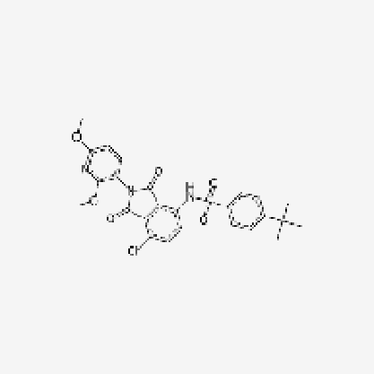 COc1ccc(N2C(=O)c3c(Cl)ccc(NS(=O)(=O)c4ccc(C(C)(C)C)cc4)c3C2=O)c(OC)n1